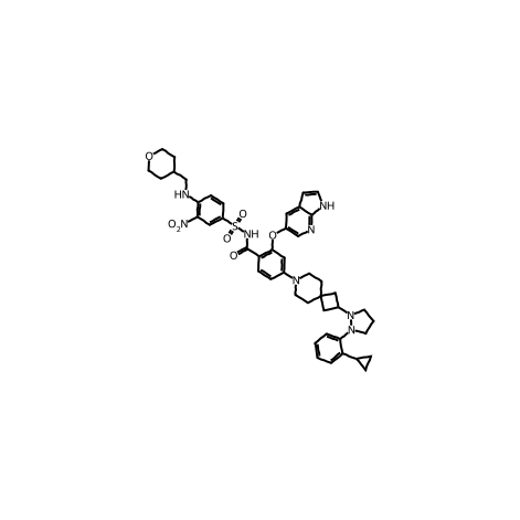 O=C(NS(=O)(=O)c1ccc(NCC2CCOCC2)c([N+](=O)[O-])c1)c1ccc(N2CCC3(CC2)CC(N2CCCN2c2ccccc2C2CC2)C3)cc1Oc1cnc2[nH]ccc2c1